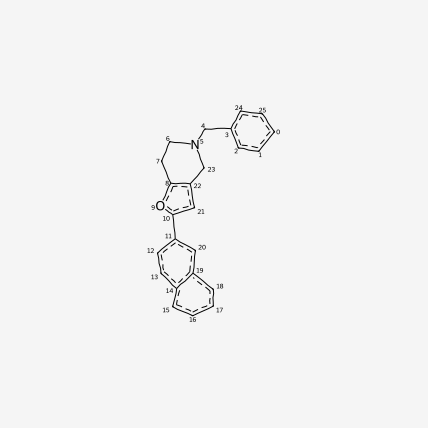 c1ccc(CN2CCc3oc(-c4ccc5ccccc5c4)cc3C2)cc1